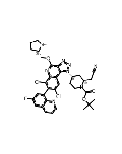 CN1CCC[C@H]1COc1nc2c(Cl)c(-c3cc(F)cc4cccnc34)c(Cl)cc2c2c1nnn2[C@H]1CCN(C(=O)OC(C)(C)C)[C@H](CC#N)C1